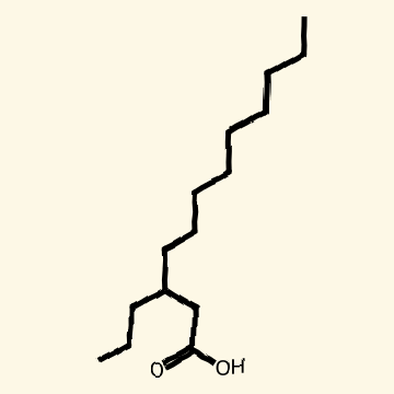 CCCCCCCCCC(CCC)CC(=O)O